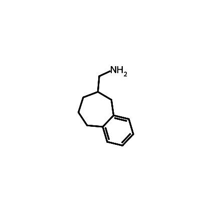 NCC1CCCc2ccccc2C1